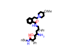 CCCCNC(=O)[C@@H](C[C@H](O)C(N)C[C@H](CNC(=O)c1ccccc1CCN1CCC(OC)CC1)C(C)C)C(C)C